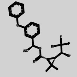 CC1(C)[C@@H]([C@H](Br)C(F)(F)Br)[C@H]1C(=O)O[C@@H](C#N)c1cccc(Oc2ccccc2)c1